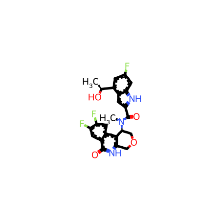 C[C@H](O)c1cc(F)cc2[nH]c(C(=O)N(C)[C@H]3COCc4[nH]c(=O)c5cc(F)c(F)cc5c43)cc12